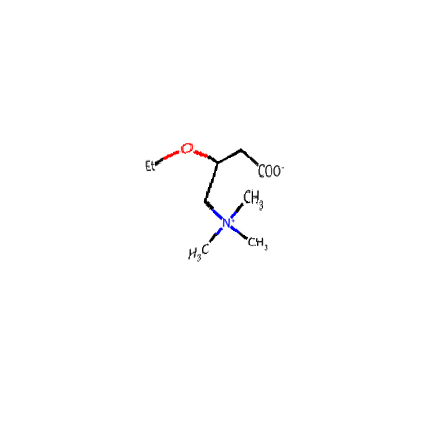 CCOC(CC(=O)[O-])C[N+](C)(C)C